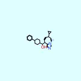 OC(C1CCC(c2ccccc2)CC1)C1C#CC(C2CC2)/C=C\n2cncc21